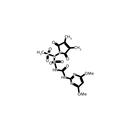 COc1cc(OC)nc(NC(=O)NS(=O)(=O)N(N2C(=O)C(C)=C(C)C2=O)S(C)(=O)=O)n1